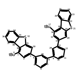 CC(C)(C)c1cc(-c2cccc(-c3cccc(-c4cc(C(C)(C)C)c5c(c4)sc4ccccc45)c3)c2)cc2sc3ccccc3c12